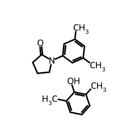 Cc1cc(C)cc(N2CCCC2=O)c1.Cc1cccc(C)c1O